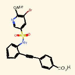 COc1ncc(S(=O)(=O)Nc2ccccc2C#Cc2ccc(C(=O)O)cc2)cc1Br